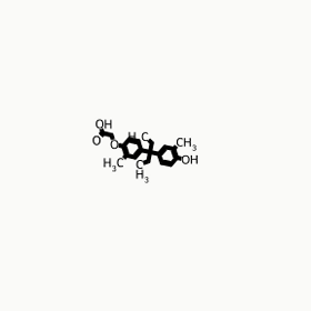 CCC(CC)(c1ccc(O)c(C)c1)c1ccc(OCC(=O)O)c(C)c1